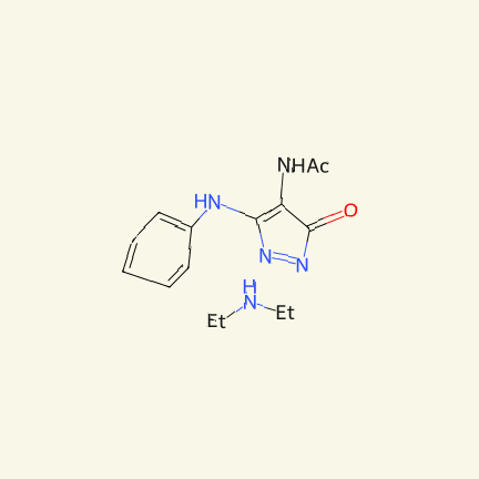 CC(=O)NC1=C(Nc2ccccc2)N=NC1=O.CCNCC